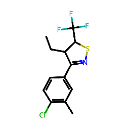 CCC1C(c2ccc(Cl)c(C)c2)=NSC1C(F)(F)F